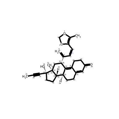 C=C(/C=C\C1=C(C)OCO1)[C@H]1C[C@@]2(C)[C@@H](CC[C@@]2(O)C#CC)[C@@H]2CCC3=CC(=O)CCC3=C12